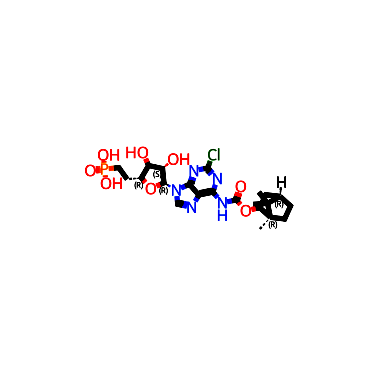 CC1(C)[C@@H]2CC[C@@]1(C)C(OC(=O)Nc1nc(Cl)nc3c1ncn3[C@@H]1O[C@H](CCP(=O)(O)O)C(O)[C@@H]1O)C2